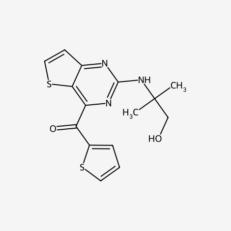 CC(C)(CO)Nc1nc(C(=O)c2cccs2)c2sccc2n1